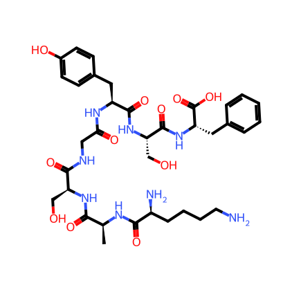 C[C@H](NC(=O)[C@@H](N)CCCCN)C(=O)N[C@@H](CO)C(=O)NCC(=O)N[C@@H](Cc1ccc(O)cc1)C(=O)N[C@@H](CO)C(=O)N[C@@H](Cc1ccccc1)C(=O)O